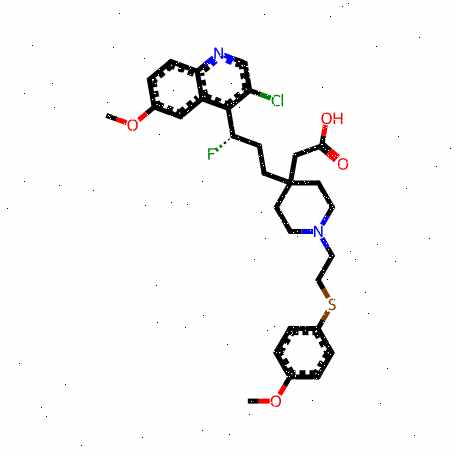 COc1ccc(SCCN2CCC(CC[C@H](F)c3c(Cl)cnc4ccc(OC)cc34)(CC(=O)O)CC2)cc1